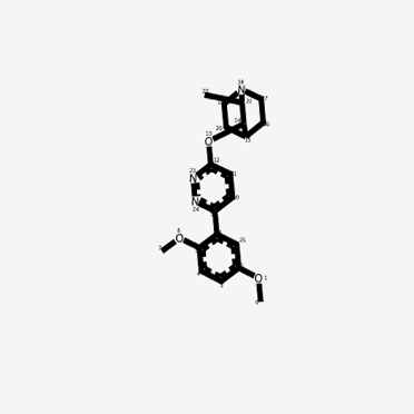 COc1ccc(OC)c(-c2ccc(OC3C4CCN(CC4)C3C)nn2)c1